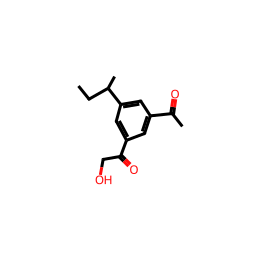 CCC(C)c1cc(C(C)=O)cc(C(=O)CO)c1